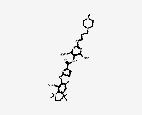 COc1nc(NCCCN2CCN(C)CC2)nc(OC)c1NC(=O)c1ccc(Oc2c(C)cc3c(c2OC)[Si](C)(C)CC[Si]3(C)C)o1